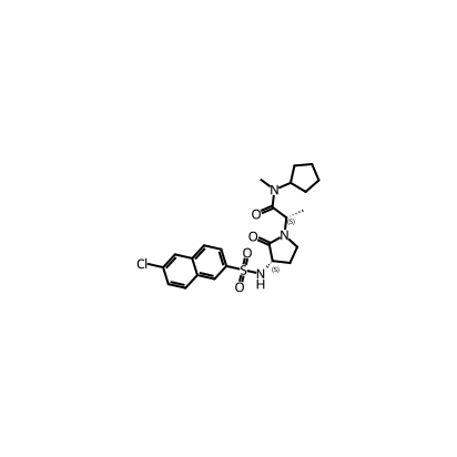 C[C@@H](C(=O)N(C)C1CCCC1)N1CC[C@H](NS(=O)(=O)c2ccc3cc(Cl)ccc3c2)C1=O